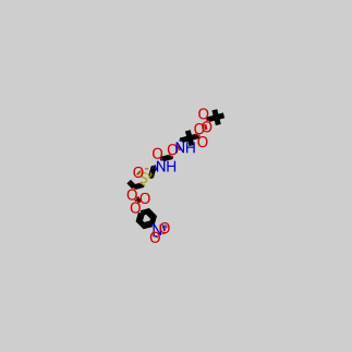 CC(C[S+]([O-])CCNC(=O)CONCC(C)(C)C(=O)OOC(=O)C(C)(C)C)OC(=O)Oc1ccc([N+](=O)[O-])cc1